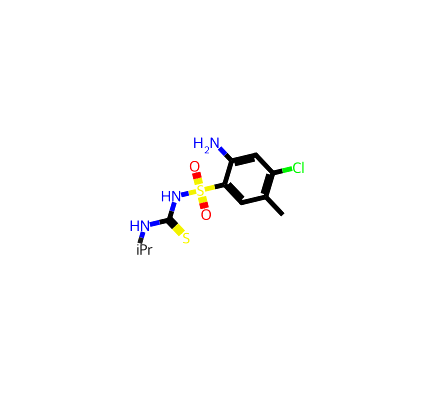 Cc1cc(S(=O)(=O)NC(=S)NC(C)C)c(N)cc1Cl